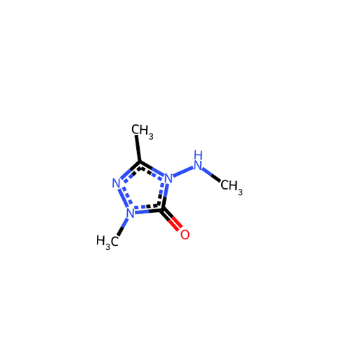 CNn1c(C)nn(C)c1=O